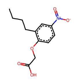 CCCCc1cc([N+](=O)[O-])ccc1OCC(=O)O